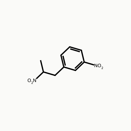 CC(Cc1cccc([N+](=O)[O-])c1)[N+](=O)[O-]